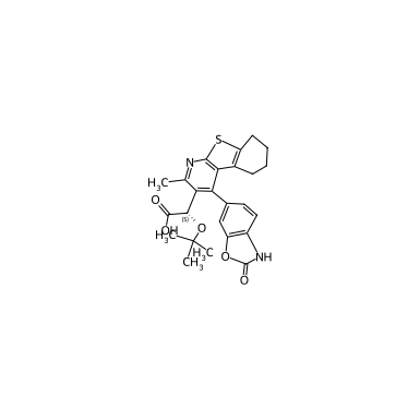 Cc1nc2sc3c(c2c(-c2ccc4[nH]c(=O)oc4c2)c1[C@H](OC(C)(C)C)C(=O)O)CCCC3